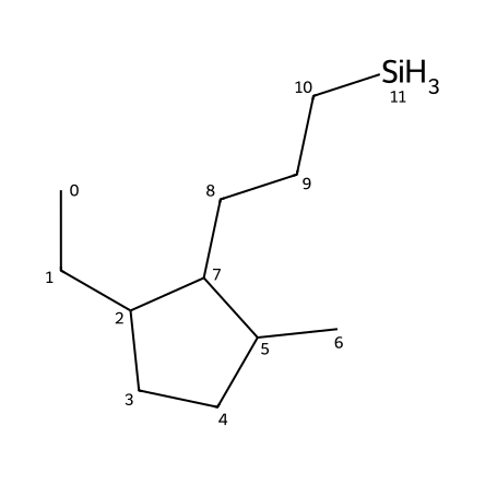 CCC1CCC(C)C1CCC[SiH3]